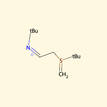 C=S(C/C=N\C(C)(C)C)C(C)(C)C